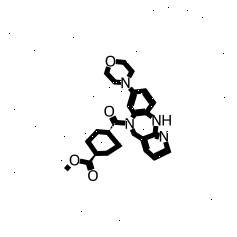 COC(=O)[C@H]1CC[C@H](C(=O)N2Cc3cccnc3Nc3ccc(N4CCOCC4)cc32)CC1